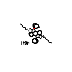 Br.Br.CCCCCN1CCC(C2(c3c4ccccc4c(C4(C5CCN(CCCCC)C5)C#Cc5ccc4cc5)c4ccccc34)C#Cc3ccc2cc3)C1